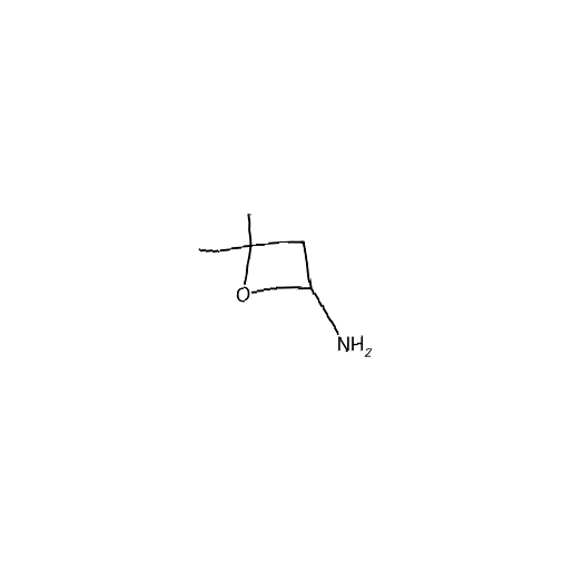 CC1(C)CC(N)O1